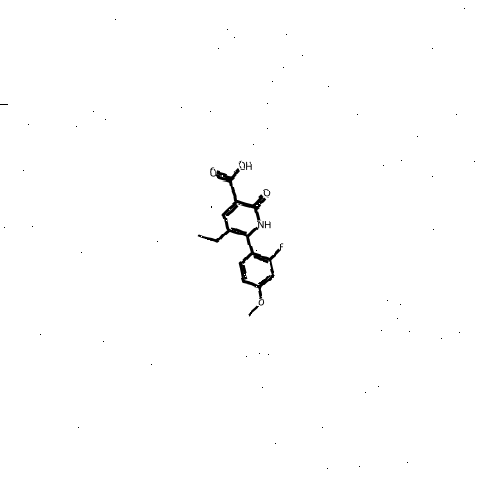 CCc1cc(C(=O)O)c(=O)[nH]c1-c1ccc(OC)cc1F